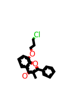 Cc1c(-c2ccccc2)oc2c(OCCCCl)cccc2c1=O